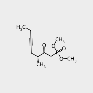 CCC#CC[C@H](C)C(=O)CP(=O)(OC)OC